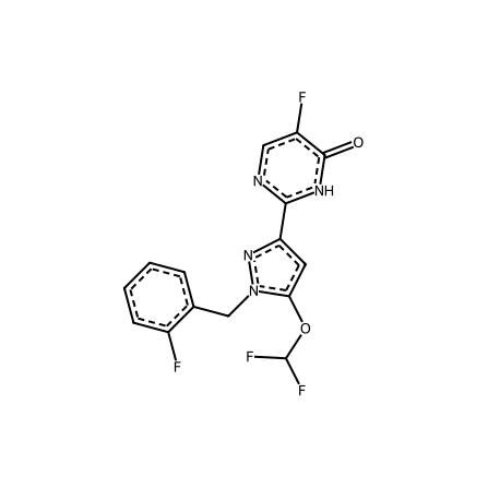 O=c1[nH]c(-c2cc(OC(F)F)n(Cc3ccccc3F)n2)ncc1F